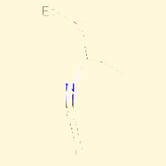 CCOC(C)N=C=O